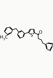 Cc1cccc(Cc2cccc(-c3ccc(C(=O)CCCc4ccccc4)s3)c2)c1